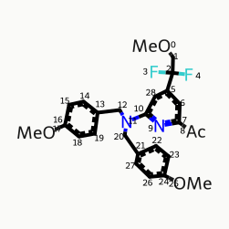 COCC(F)(F)c1cc(C(C)=O)nc(N(Cc2ccc(OC)cc2)Cc2ccc(OC)cc2)c1